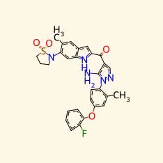 Cc1cc2cc(C(=O)c3cnn(-c4ccc(Oc5ccccc5F)cc4C)c3N)[nH]c2cc1N1CCCS1(=O)=O